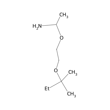 CCC(C)(C)OCCOC(C)N